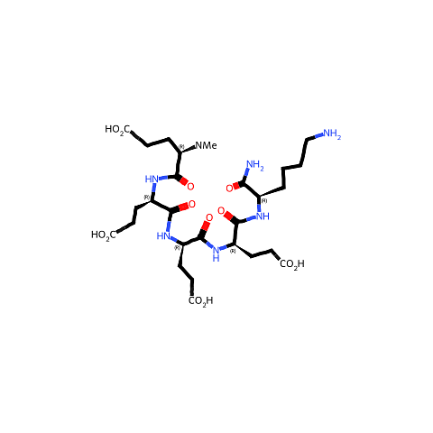 CN[C@H](CCC(=O)O)C(=O)N[C@H](CCC(=O)O)C(=O)N[C@H](CCC(=O)O)C(=O)N[C@H](CCC(=O)O)C(=O)N[C@H](CCCCN)C(N)=O